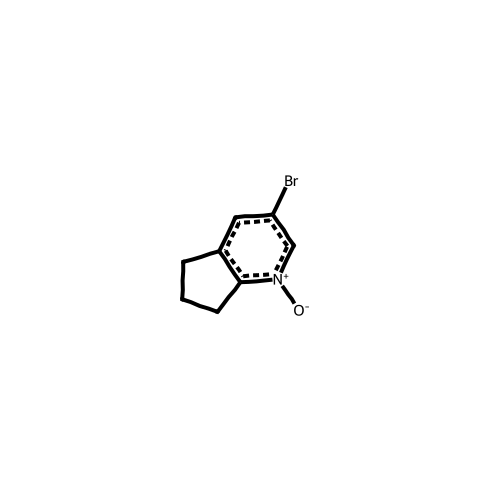 [O-][n+]1cc(Br)cc2c1CCC2